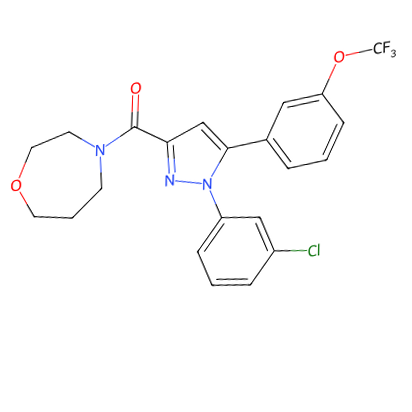 O=C(c1cc(-c2cccc(OC(F)(F)F)c2)n(-c2cccc(Cl)c2)n1)N1CCCOCC1